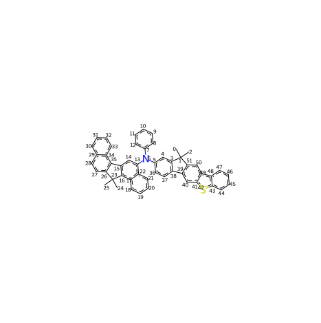 CC1(C)c2cc(N(c3ccccc3)c3cc4c(c5ccccc35)C(C)(C)c3ccc5ccccc5c3-4)ccc2-c2cc3sc4ccccc4c3cc21